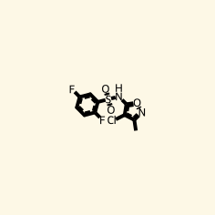 Cc1noc(NS(=O)(=O)c2cc(F)ccc2F)c1Cl